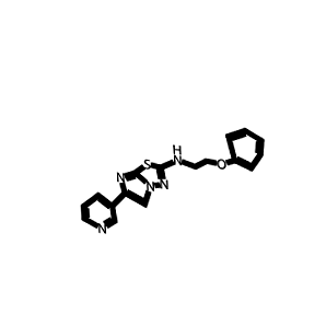 c1ccc(OCCNc2nn3cc(-c4cccnc4)nc3s2)cc1